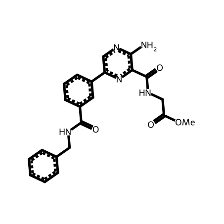 COC(=O)CNC(=O)c1nc(-c2cccc(C(=O)NCc3ccccc3)c2)cnc1N